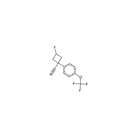 N#CC1(c2ccc(OC(F)(F)F)cc2)CC(F)C1